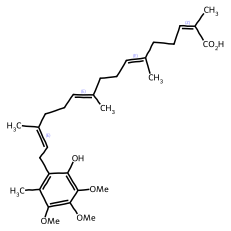 COc1c(C)c(C/C=C(\C)CC/C=C(\C)CC/C=C(\C)CC/C=C(/C)C(=O)O)c(O)c(OC)c1OC